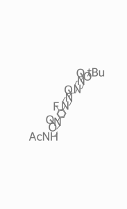 CC(=O)NC[C@H]1CN(c2ccc(N3CCN(C(=O)CN4CCN(C(=O)OC(C)(C)C)CC4)CC3)c(F)c2)C(=O)O1